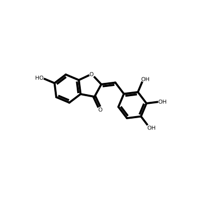 O=C1C(=Cc2ccc(O)c(O)c2O)Oc2cc(O)ccc21